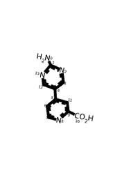 Nc1ncc(-c2ccnc(C(=O)O)c2)cn1